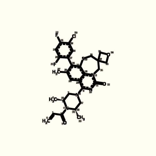 C=CC(=O)N1[C@H](C)CN(c2nc(=O)n3c4c(c(-c5cc(Cl)c(F)cc5F)c(C)cc24)SCC2(COC2)C3)C[C@@H]1C